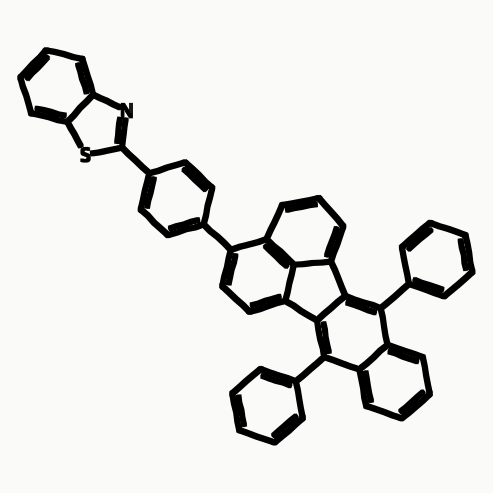 c1ccc(-c2c3c(c(-c4ccccc4)c4ccccc24)-c2ccc(-c4ccc(-c5nc6ccccc6s5)cc4)c4cccc-3c24)cc1